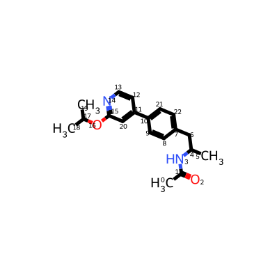 CC(=O)NC(C)Cc1ccc(-c2ccnc(OC(C)C)c2)cc1